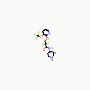 C[C@@H]1CN(C)CC[C@H]1NC(=O)C(F)(F)COc1ncccc1OC(F)(F)F